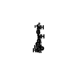 CC(C)NCCOCCNCCOCC(F)CNC(=O)C(C)S